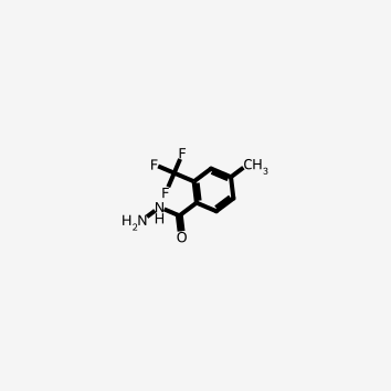 Cc1ccc(C(=O)NN)c(C(F)(F)F)c1